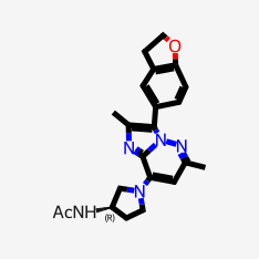 CC(=O)N[C@@H]1CCN(c2cc(C)nn3c(-c4ccc5c(c4)CCO5)c(C)nc23)C1